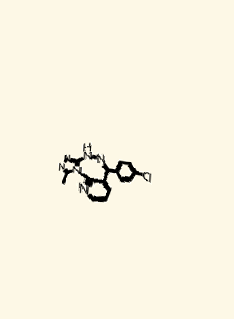 Cc1nnc2n1-c1ncccc1C(c1ccc(Cl)cc1)=NN2